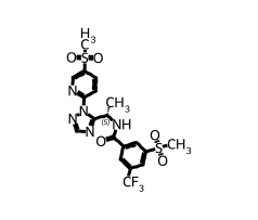 C[C@H](NC(=O)c1cc(C(F)(F)F)cc(S(C)(=O)=O)c1)c1ncnn1-c1ccc(S(C)(=O)=O)cn1